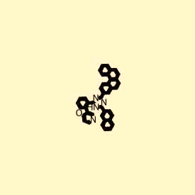 c1ccc2cc(C3N=C(c4ccc5c(ccc6ccc7ccccc7c65)c4)N=C(c4cccc5oc6ccncc6c45)N3)ccc2c1